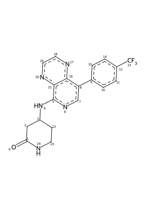 O=C1CC(Nc2ncc(-c3ccc(C(F)(F)F)cc3)c3nccnc23)CCN1